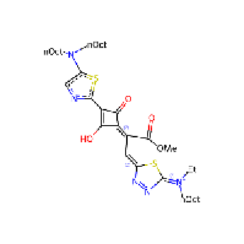 CCCCCCCCN(CCCCCCCC)c1cnc(C2=C(O)/C(=C(\C=C3N=N/C(=[N+](/CC)CCCCCCCC)S\3)C(=O)OC)C2=O)s1